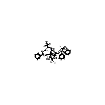 C=C1N[C@H]2[C@H](CO[Si](c3ccccc3)(c3ccccc3)C(C)(C)C)N/C(=N/C(=O)C(Cl)(Cl)Cl)N3[C@H](CC)C(OC(=O)c4ccccc4)[C@H](O)C23N1